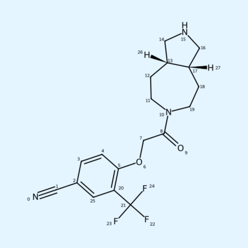 N#Cc1ccc(OCC(=O)N2CC[C@@H]3CNC[C@@H]3CC2)c(C(F)(F)F)c1